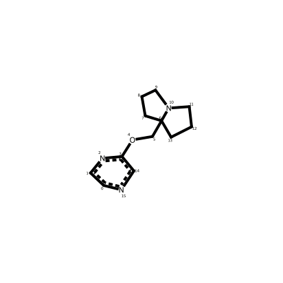 c1cnc(OCC23CCCN2CCC3)cn1